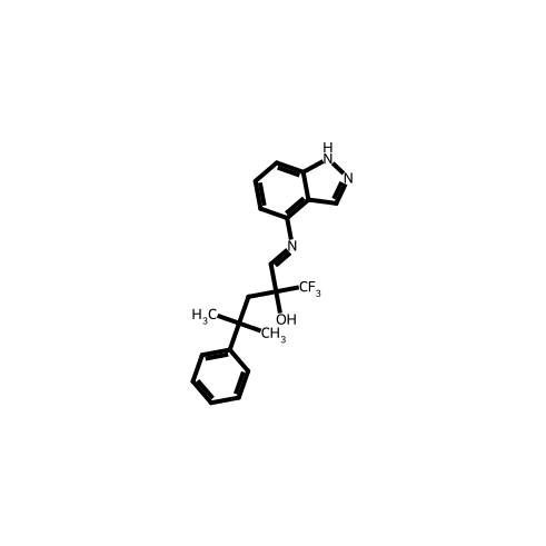 CC(C)(CC(O)(/C=N/c1cccc2[nH]ncc12)C(F)(F)F)c1ccccc1